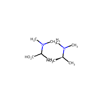 CC(C(=O)O)N(C)C.C[C@@H](C(=O)O)N(C)C